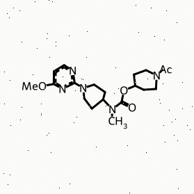 COc1ccnc(N2CCC(N(C)C(=O)OC3CCN(C(C)=O)CC3)CC2)n1